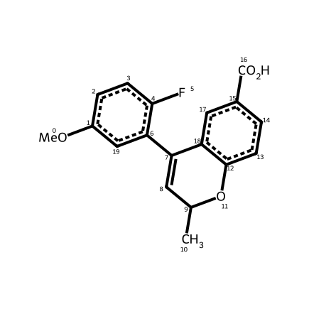 COc1ccc(F)c(C2=CC(C)Oc3ccc(C(=O)O)cc32)c1